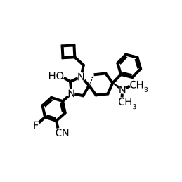 CN(C)[C@]1(c2ccccc2)CC[C@]2(CC1)CN(c1ccc(F)c(C#N)c1)C(O)N2CC1CCC1